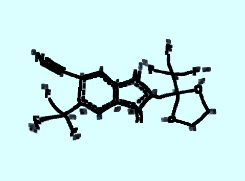 N#Cc1cc2nc(C3(C(F)(F)F)OCCO3)[nH]c2cc1C(F)(F)F